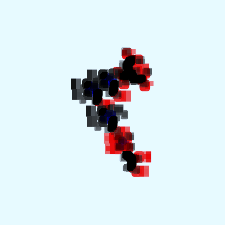 C[N+](C)(C)CCO.C[N+](C)(C)CCO.C[N+](C)(C)CCO.O=C([O-])CC(O)(CC(=O)[O-])C(=O)[O-].O=P(O)(O)OCC(O)CO